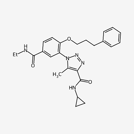 CCNC(=O)c1ccc(OCCCc2ccccc2)c(-n2nnc(C(=O)NC3CC3)c2C)c1